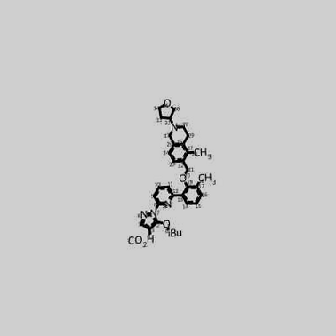 CCC(C)Oc1c(C(=O)O)cnn1-c1cccc(-c2cccc(C)c2OCc2ccc3c(c2C)CCN(C2CCOC2)C3)n1